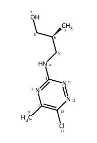 Cc1nc(NC[C@H](C)CO)nnc1Cl